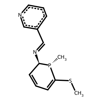 CSC1=CC=C[C@@H](/N=C/c2cccnc2)[P@]1C